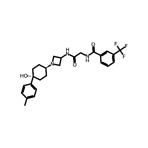 Cc1ccc([C@]2(O)CC[C@H](N3CC(NC(=O)CNC(=O)c4cccc(C(F)(F)F)c4)C3)CC2)cc1